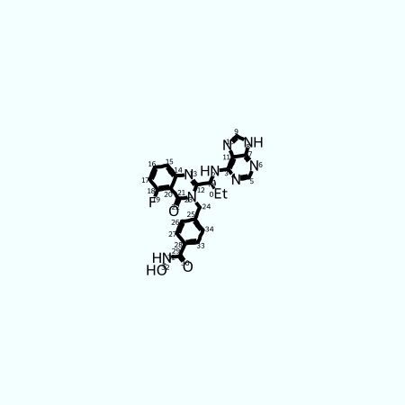 CC[C@H](Nc1ncnc2[nH]cnc12)c1nc2cccc(F)c2c(=O)n1Cc1ccc(C(=O)NO)cc1